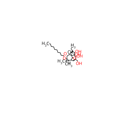 CCCCCCCCCC(=O)O[C@@]12C[C@@H](C)C34C=C(C)C(O)C3(O)C(O)C(CO)=CC(C4=O)[C@@H]1C2(C)C